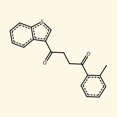 Cc1ccccc1C(=O)CCC(=O)c1csc2ccccc12